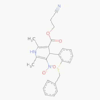 CC1=C(C(=O)OCCC#N)C(c2ccccc2SCc2ccccc2)C([N+](=O)[O-])=C(C)N1